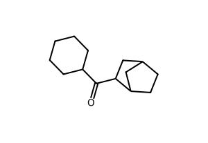 O=C(C1CCCCC1)C1CC2CCC1C2